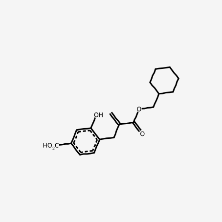 C=C(Cc1ccc(C(=O)O)cc1O)C(=O)OCC1CCCCC1